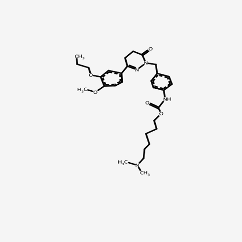 CCCOc1cc(C2=NN(Cc3ccc(NC(=O)OCCCCCCN(C)C)cc3)C(=O)CC2)ccc1OC